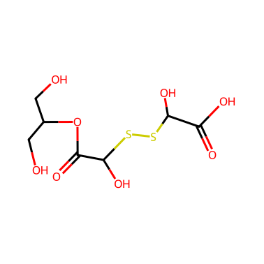 O=C(O)C(O)SSC(O)C(=O)OC(CO)CO